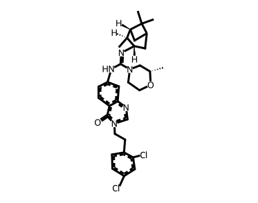 C[C@@H]1[C@@H](/N=C(/Nc2ccc3c(=O)n(CCc4ccc(Cl)cc4Cl)cnc3c2)N2CCO[C@@H](C)C2)CC2C[C@H]1C2(C)C